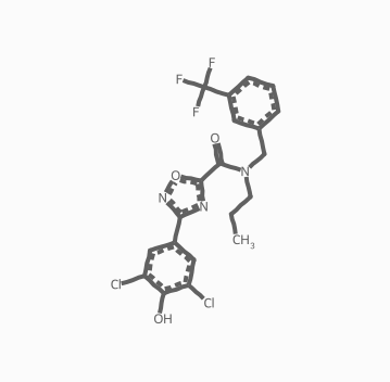 CCCN(Cc1cccc(C(F)(F)F)c1)C(=O)c1nc(-c2cc(Cl)c(O)c(Cl)c2)no1